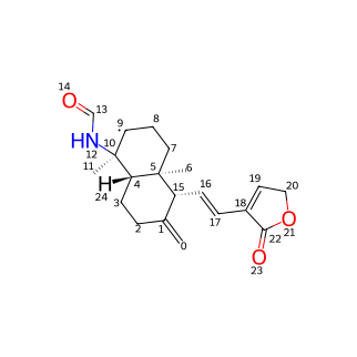 C=C1CC[C@H]2[C@@](C)(CC[CH][C@]2(C)NC=O)[C@@H]1/C=C/C1=CCOC1=O